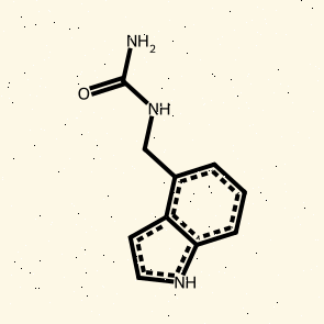 NC(=O)NCc1cccc2[nH]ccc12